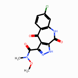 CON(C)C(=O)c1n[nH]c2c(=O)[nH]c3cc(Cl)ccc3c(=O)c12